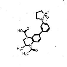 CC(=O)N1c2ccc(-c3cccc(N4CCCS4(=O)=O)c3)cc2N(C(=O)O)C[C@@H]1C